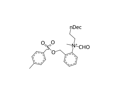 CCCCCCCCCCCC[N+](C)(C=O)c1ccccc1COS(=O)(=O)c1ccc(C)cc1